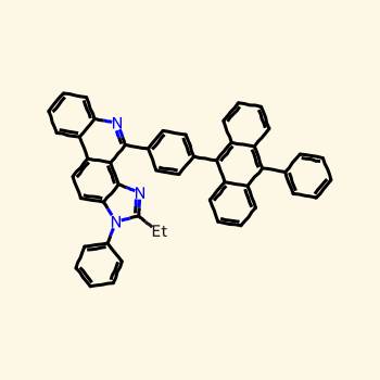 CCc1nc2c3c(-c4ccc(-c5c6ccccc6c(-c6ccccc6)c6ccccc56)cc4)nc4ccccc4c3ccc2n1-c1ccccc1